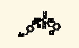 CC(=O)Cc1ccc(OC(=O)NC(=N)NC(=O)Cc2c(Cl)cccc2Cl)cc1